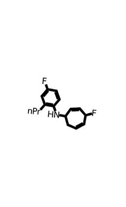 CCCc1cc(F)ccc1NC1C=CC(F)C=CC1